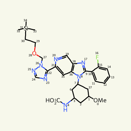 COC1CC(NC(=O)O)CC(n2c(-c3ccccc3F)nc3cnc(-c4ncnn4COCC[Si](C)(C)C)cc32)C1